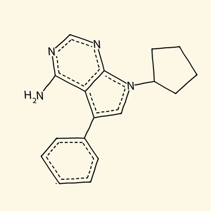 Nc1ncnc2c1c(-c1cc[c]cc1)cn2C1CCCC1